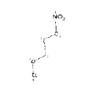 [CH2]COCCO[N+](=O)[O-]